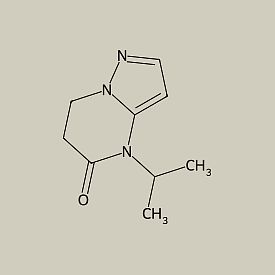 CC(C)N1C(=O)CCn2nccc21